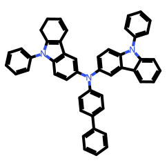 C1=Cc2c(n(-c3ccccc3)c3ccc(N(c4ccc(-c5ccccc5)cc4)c4ccc5c(c4)c4ccccc4n5-c4ccccc4)cc23)CC1